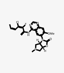 C=C(Nc1ncnc2cc(OC)c(N3C(=O)O[C@@H]4CN(C)C[C@@H]43)cc12)/C(F)=C(Cl)\C=C/C